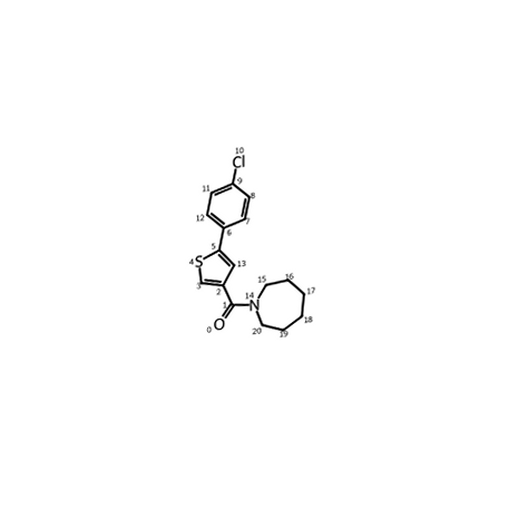 O=C(c1csc(-c2ccc(Cl)cc2)c1)N1CCCCCC1